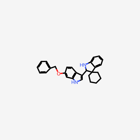 c1ccc(COc2ccc3c(C4Nc5ccccc5C45CCCCC5)c[nH]c3c2)cc1